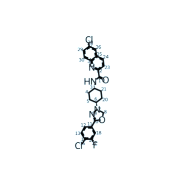 O=C(N[C@H]1CC[C@H](N2COC(c3ccc(Cl)c(F)c3)=N2)CC1)c1ccc2cc(Cl)ccc2n1